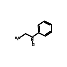 NC[SiH](Cl)c1ccccc1